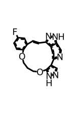 Fc1ccc2c(c1)/C=C/c1n[nH]c3cnc(cc13)-c1cn[nH]c1OCCCO2